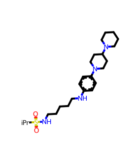 CC(C)S(=O)(=O)NCCCCCNc1ccc(N2CCC(N3CCCCC3)CC2)cc1